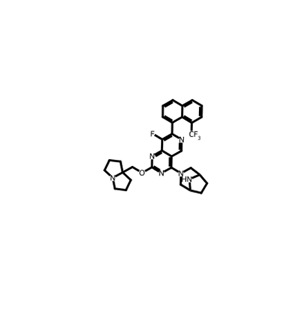 Fc1c(-c2cccc3cccc(C(F)(F)F)c23)ncc2c(N3CC4CCC(C3)N4)nc(OCC34CCCN3CCC4)nc12